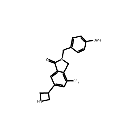 COc1ccc(CN2Cc3c(cc(C4CNC4)cc3C(F)(F)F)C2=O)cc1